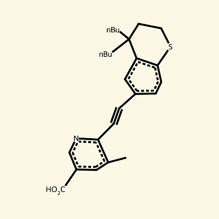 CCCCC1(CCCC)CCSc2ccc(C#Cc3ncc(C(=O)O)cc3C)cc21